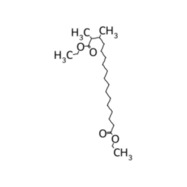 CCOC(=O)CCCCCCCCCCCCCC(C)C(C)C(=O)OCC